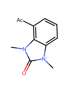 CC(=O)c1cccc2c1n(C)c(=O)n2C